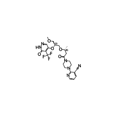 COC[C@@H](CO[C@H](C)CC(=O)N1CCN(c2ncccc2C#N)CC1)Oc1cn[nH]c(=O)c1C(F)(F)F